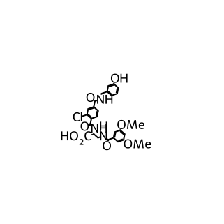 COc1cc(OC)cc(C(=O)NC[C@H](NC(=O)c2ccc(C(=O)NCc3cccc(O)c3)cc2Cl)C(=O)O)c1